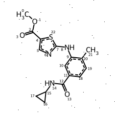 COC(=O)c1cnc(Nc2cc(C(=O)NC3CC3)ccc2C)s1